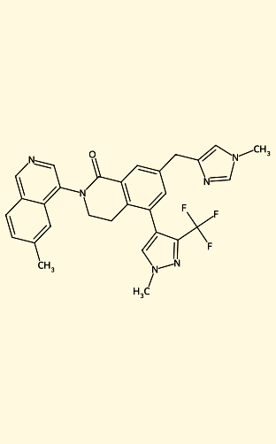 Cc1ccc2cncc(N3CCc4c(cc(Cc5cn(C)cn5)cc4-c4cn(C)nc4C(F)(F)F)C3=O)c2c1